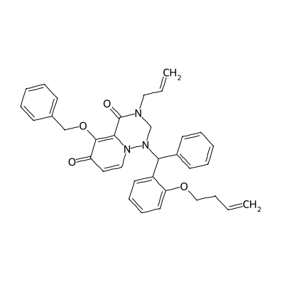 C=CCCOc1ccccc1C(c1ccccc1)N1CN(CC=C)C(=O)c2c(OCc3ccccc3)c(=O)ccn21